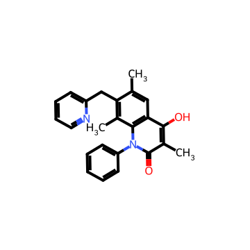 Cc1cc2c(O)c(C)c(=O)n(-c3ccccc3)c2c(C)c1Cc1ccccn1